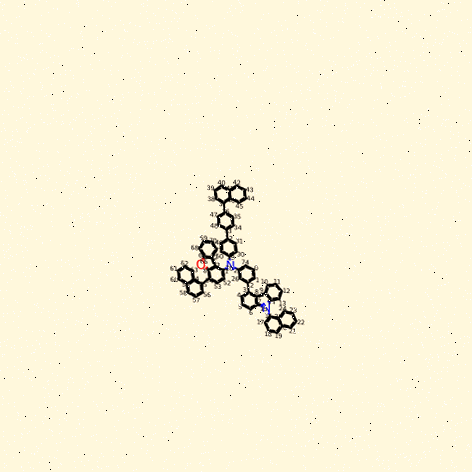 c1cc(-c2cccc3c2c2ccccc2n3-c2cccc3ccccc23)cc(N(c2ccc(-c3ccc(-c4cccc5ccccc45)cc3)cc2)c2ccc(-c3cccc4ccccc34)c3oc4ccccc4c23)c1